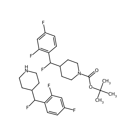 CC(C)(C)OC(=O)N1CCC(C(F)c2ccc(F)cc2F)CC1.Fc1ccc(C(F)C2CCNCC2)c(F)c1